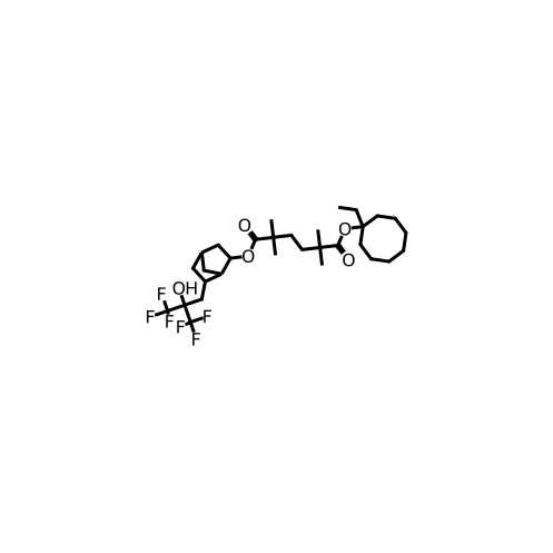 CCC1(OC(=O)C(C)(C)CCC(C)(C)C(=O)OC2CC3CC(CC(O)(C(F)(F)F)C(F)(F)F)C2C3)CCCCCCC1